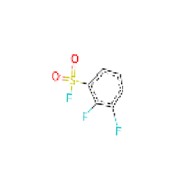 O=S(=O)(F)c1cccc(F)c1F